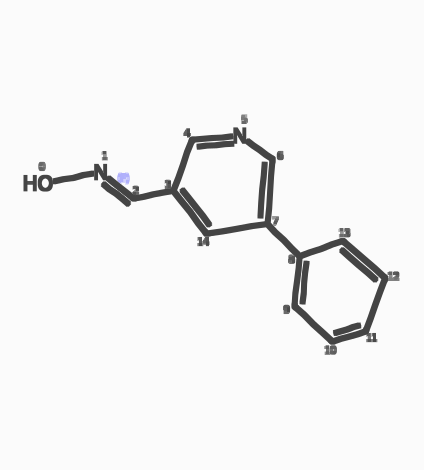 O/N=C/c1cncc(-c2ccccc2)c1